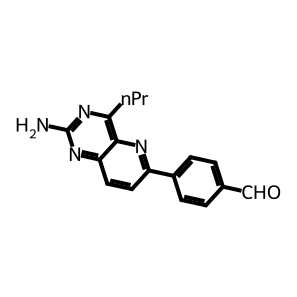 CCCc1nc(N)nc2ccc(-c3ccc(C=O)cc3)nc12